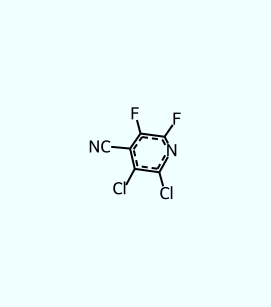 N#Cc1c(F)c(F)nc(Cl)c1Cl